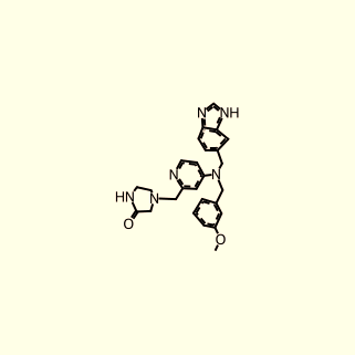 COc1cccc(CN(Cc2ccc3nc[nH]c3c2)c2ccnc(CN3CCNC(=O)C3)c2)c1